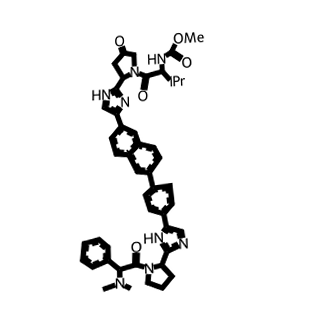 COC(=O)NC(C(=O)N1CC(=O)CC1c1nc(-c2ccc3cc(-c4ccc(-c5cnc(C6CCCN6C(=O)C(c6ccccc6)N(C)C)[nH]5)cc4)ccc3c2)c[nH]1)C(C)C